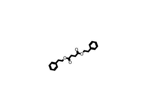 O=C(CCC(=O)OCCc1ccccc1)OCCc1ccccc1